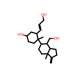 C=C1CCC2C(CO)C(C3(C)CCC(O)CC3C=CCO)CCC12C